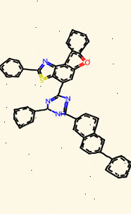 c1ccc(-c2ccc3cc(C4=NC(c5cc6oc7ccccc7c6c6nc(-c7ccccc7)sc56)=NC(c5ccccc5)N4)ccc3c2)cc1